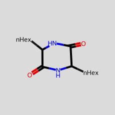 CCCCCCC1NC(=O)C(CCCCCC)NC1=O